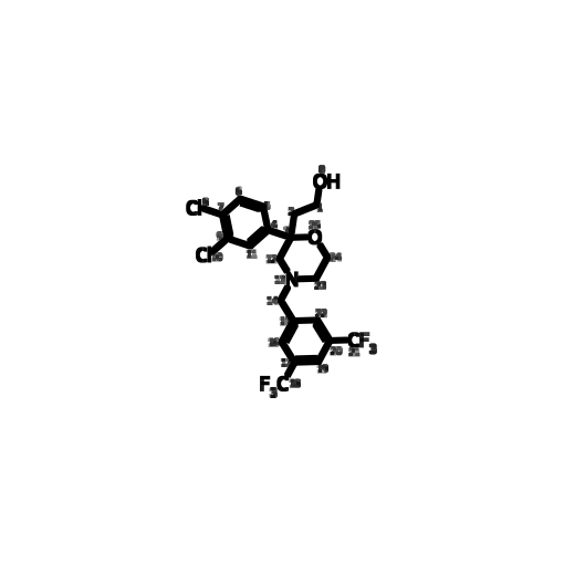 OCCC1(c2ccc(Cl)c(Cl)c2)CN(Cc2cc(C(F)(F)F)cc(C(F)(F)F)c2)CCO1